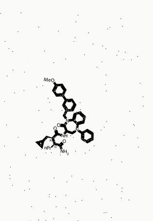 CCC[C@H](C(N)=O)[C@@H](CC1CC1)C(=O)NC1CN(c2ccccc2)c2ccccc2N(Cc2cccc(-c3ccc(OC)cc3)c2)C1=O